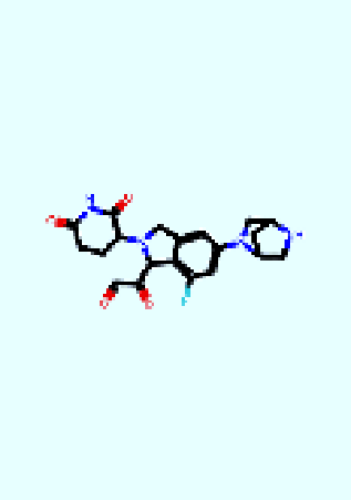 O=CC(=O)C1c2c(F)cc(N3CC4CC3CN4)cc2CN1C1CCC(=O)NC1=O